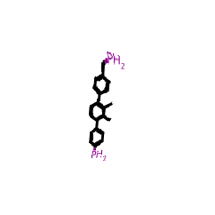 Cc1c(-c2ccc(P)cc2)ccc(-c2ccc(CP)cc2)c1C